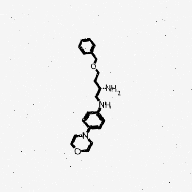 N[C@@H](CCOCc1ccccc1)CNc1ccc(N2CCOCC2)cc1